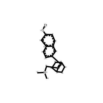 CCOc1ccc2cc(C3=C(CN(C)C)C4CCC3CC4)ccc2c1